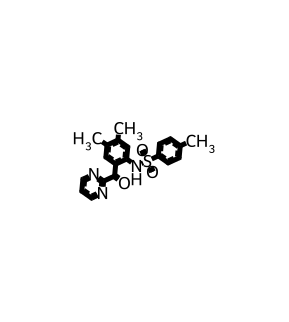 Cc1ccc(S(=O)(=O)Nc2cc(C)c(C)cc2C(=O)c2ncccn2)cc1